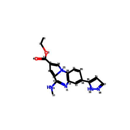 CCOC(=O)c1cc2c(NC)nc3cc(-c4ccn[nH]4)ccc3n2c1